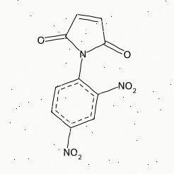 O=C1C=CC(=O)N1c1ccc([N+](=O)[O-])cc1[N+](=O)[O-]